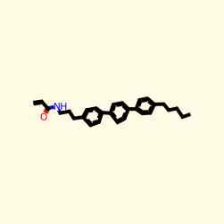 C=CC(=O)NCCCc1ccc(-c2ccc(-c3ccc(CCCCC)cc3)cc2)cc1